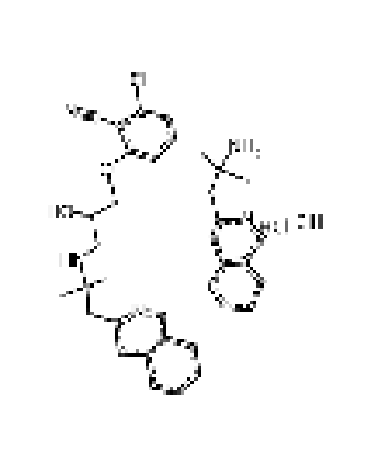 CC(C)(Cc1cc2ccccc2cn1)NC[C@@H](O)COc1cccc(Cl)c1C#N.CC(C)(N)Cc1cc2ccccc2cn1.Cl.Cl